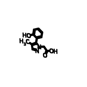 Cc1cnn(CC(=O)O)c1-c1ccccc1O